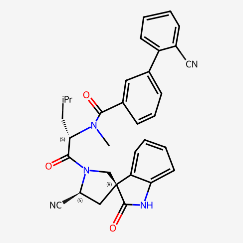 CC(C)C[C@@H](C(=O)N1C[C@]2(C[C@H]1C#N)C(=O)Nc1ccccc12)N(C)C(=O)c1cccc(-c2ccccc2C#N)c1